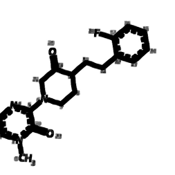 Cn1ccnc(N2CCC(CCc3ccccc3F)C(=O)C2)c1=O